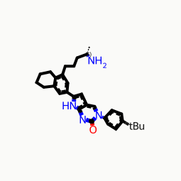 C[C@H](N)CCCc1cc(-c2cc3cn(-c4ccc(C(C)(C)C)cc4)c(=O)nc3[nH]2)cc2c1CCCC2